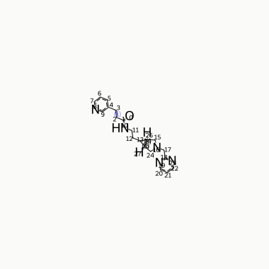 O=C(/C=C/c1cccnc1)NCCC1[C@H]2CN(Cc3ncccn3)C[C@@H]12